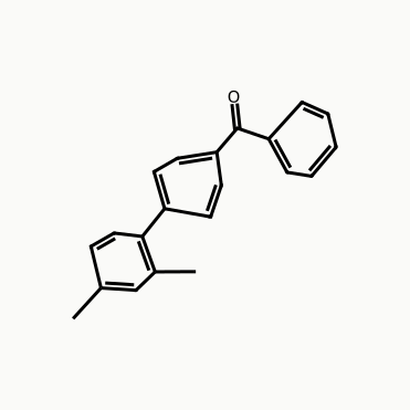 Cc1ccc(-c2ccc(C(=O)c3ccccc3)cc2)c(C)c1